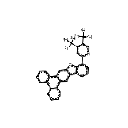 [2H]C([2H])([2H])c1cnc(-c2cccc3c2oc2cc4c5ccccc5c5ccccc5c4cc23)cc1C([2H])([2H])[2H]